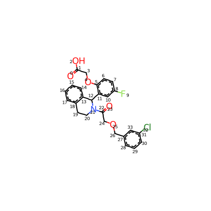 O=C(O)COc1ccc(F)cc1C1c2ccccc2CCN1C(=O)COCc1cccc(Cl)c1